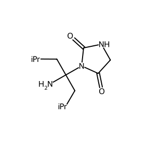 CC(C)CC(N)(CC(C)C)N1C(=O)CNC1=O